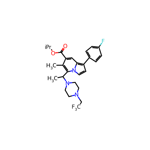 Cc1c(C(=O)OC(C)C)cc2c(-c3ccc(F)cc3)ccn2c1C(C)N1CCN(CC(F)(F)F)CC1